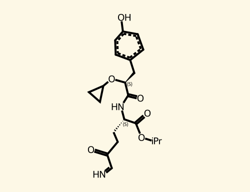 CC(C)OC(=O)[C@H](CCC(=O)C=N)NC(=O)[C@H](Cc1ccc(O)cc1)OC1CC1